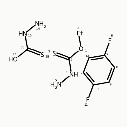 CCOC(=S)NN.Fc1ccc(F)cc1.NNC(O)=S